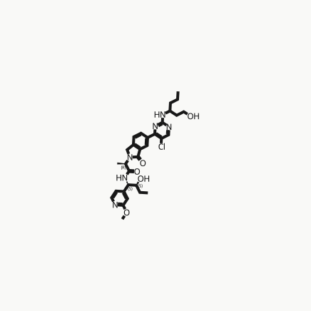 CCCC(CCO)Nc1ncc(Cl)c(-c2ccc3c(c2)C(=O)N([C@H](C)C(=O)N[C@@H](c2ccnc(OC)c2)[C@@H](O)CC)C3)n1